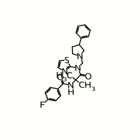 CC(C)(NC(=O)c1ccc(F)cc1)C(=O)N(CN1CCC(c2ccccc2)C1)c1nccs1